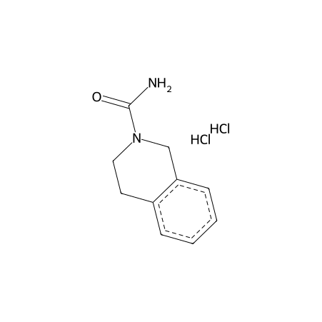 Cl.Cl.NC(=O)N1CCc2ccccc2C1